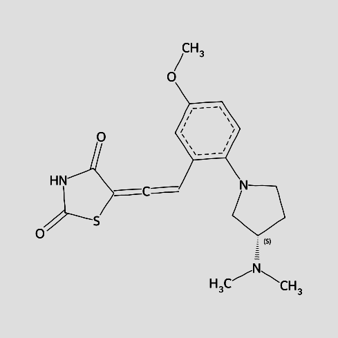 COc1ccc(N2CC[C@H](N(C)C)C2)c(C=C=C2SC(=O)NC2=O)c1